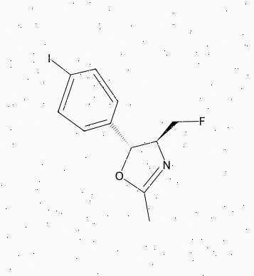 CC1=N[C@H](CF)[C@@H](c2ccc(I)cc2)O1